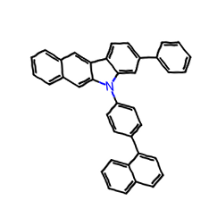 c1ccc(-c2ccc3c4cc5ccccc5cc4n(-c4ccc(-c5cccc6ccccc56)cc4)c3c2)cc1